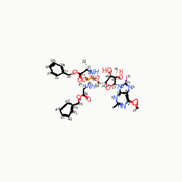 COc1nc(C)nc2c1nc(I)n2[C@@H]1O[C@H](COP(=O)(N[C@@H](C)C(=O)OCc2ccccc2)N[C@@H](C)C(=O)OCc2ccccc2)[C@@H](O)[C@@]1(C)O